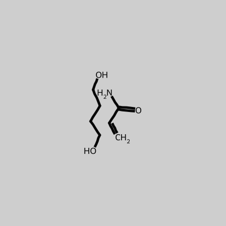 C=CC(N)=O.OCCCCO